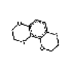 c1cc2c(c3c1OCCS3)OCCS2